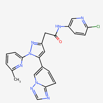 Cc1cccc(-n2nc(CC(=O)Nc3ccc(Cl)nc3)cc2-c2ccc3ncnn3c2)n1